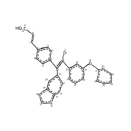 CCC(=C(c1ccc(C=CC(=O)O)cc1)c1ccc2scnc2c1)c1cccc(Oc2ccccn2)c1